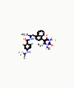 CCC(Nc1cc(F)c(C(=O)NC(Cc2ccc(-c3c(C)n(C)c(=O)n(C)c3=O)c3ccccc23)C(=O)O)c(F)c1)C(F)(F)F